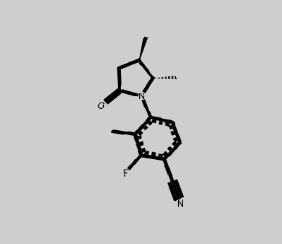 Cc1c(N2C(=O)C[C@@H](C)[C@@H]2C)ccc(C#N)c1F